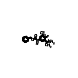 C[C@@H](N)c1cc(NC(=O)OCc2ccccc2)cc(C(F)(F)F)c1F